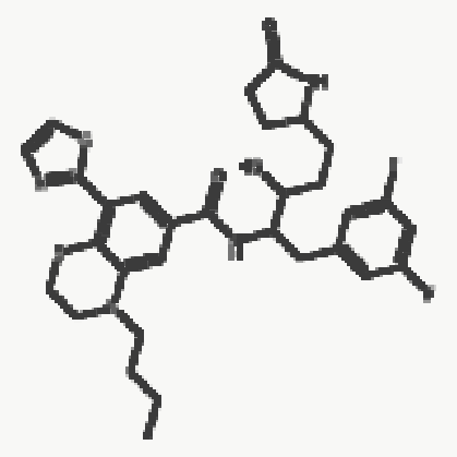 CCCCN1CCSc2c(-c3ncco3)cc(C(=O)NC(Cc3cc(F)cc(F)c3)C(O)CCC3CCC(=O)N3)cc21